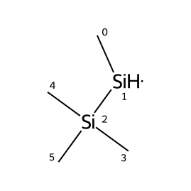 C[SiH][Si](C)(C)C